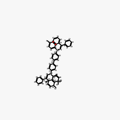 Cc1ccc(N(C=C(c2ccccc2)c2ccccc2)c2ccc(-c3ccc(N4C=C(c5ccccc5)C5(C)C=CC(C)C6=C5C4(C)C=CC6(C)C)cc3)cc2)cc1